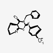 O=c1c2cccnc2sc(=Nc2ccc(C(F)(F)F)cc2)n1Cc1ccccc1